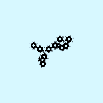 CC1(C)c2ccccc2-c2ccc(N(c3ccc(-c4ccccc4)cc3)c3ccc(-c4ccc5sc6c(ccc7ccc8c9ccccc9n(-c9ccccc9)c8c76)c5c4)cc3)cc21